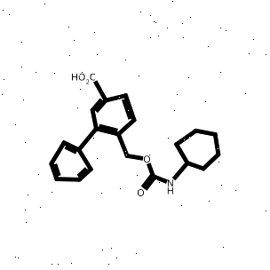 O=C(NC1CCCCC1)OCc1ccc(C(=O)O)cc1-c1ccccc1